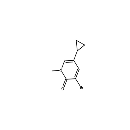 Cn1cc(C2CC2)cc(Br)c1=O